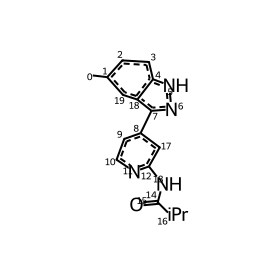 Cc1ccc2[nH]nc(-c3ccnc(NC(=O)C(C)C)c3)c2c1